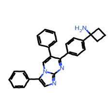 NC1(c2ccc(-c3nc4ncc(-c5ccccc5)n4cc3-c3ccccc3)cc2)CCC1